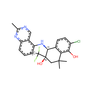 Cc1ncc2c(N[C@H]3c4ccc(Cl)c(O)c4C(C)(C)C[C@]3(O)C(F)(F)C(F)(F)F)cccc2n1